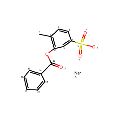 Cc1ccc(S(=O)(=O)[O-])cc1OC(=O)c1ccccc1.[Na+]